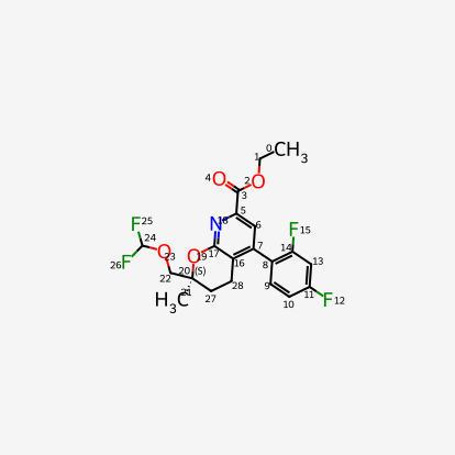 CCOC(=O)c1cc(-c2ccc(F)cc2F)c2c(n1)O[C@](C)(COC(F)F)CC2